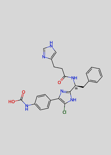 O=C(O)Nc1ccc(-c2nc([C@H](Cc3ccccc3)NC(=O)CCc3c[nH]cn3)[nH]c2Cl)cc1